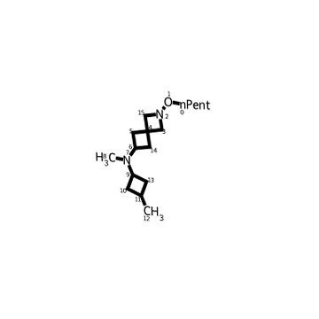 CCCCCON1CC2(CC(N(C)C3CC(C)C3)C2)C1